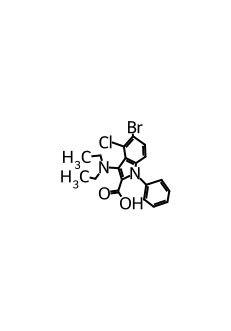 CCN(CC)c1c(C(=O)O)n(-c2ccccc2)c2ccc(Br)c(Cl)c12